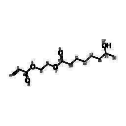 C=CC(=O)OCCOC(=O)CCCCCC(C)O